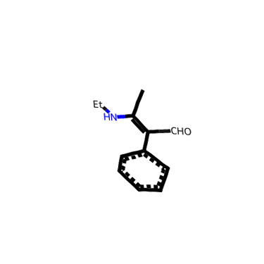 CCNC(C)=C(C=O)c1ccccc1